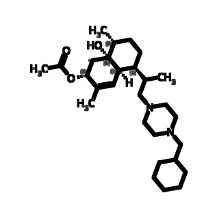 CC(=O)O[C@@H]1[CH][C@@]2(O)[C@H](C)CC[C@@H](C(C)CN3CCN(CC4CCCCC4)CC3)[C@H]2C=C1C